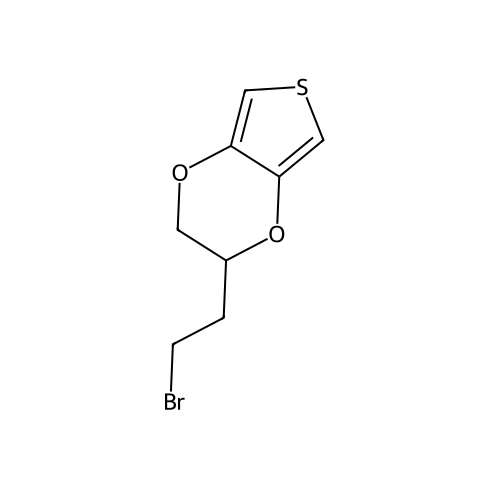 BrCCC1COc2cscc2O1